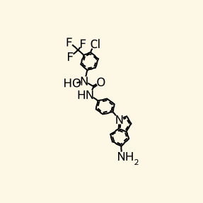 Nc1ccc2c(ccn2-c2ccc(NC(=O)N(O)c3ccc(Cl)c(C(F)(F)F)c3)cc2)c1